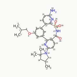 CC(C)COc1cc2cc(c1)-c1nc(N3CC(C)CC3(C)C)ccc1C(=O)NS(=O)(=O)c1nc(N)ccc1-2